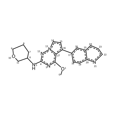 COc1nc(NC2CCCOC2)nn2ccc(-c3ccc4ncccc4c3)c12